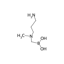 CN(CCCN)CB(O)O